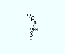 O=C(COc1ccc(Cl)c(F)c1)NC1CCC(n2cc(-c3ccc(C(F)(F)F)cn3)cn2)CC1